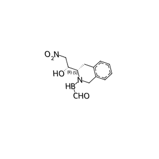 O=CBN1Cc2ccccc2C[C@H]1[C@H](O)C[N+](=O)[O-]